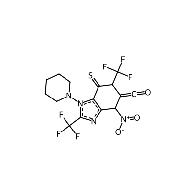 O=C=C1C([N+](=O)[O-])c2nc(C(F)(F)F)n(N3CCCCC3)c2C(=S)C1C(F)(F)F